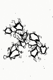 O[C@H]1[C@@H](OC(c2ccccc2)(c2ccccc2)c2ccccc2)[C@H](n2cnc3c(Cl)ncnc32)O[C@@H]1COC(c1ccccc1)(c1ccccc1)c1ccccc1